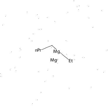 CCC[CH2][Mg][CH2]C.[Mg]